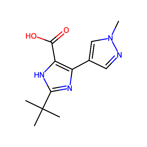 Cn1cc(-c2nc(C(C)(C)C)[nH]c2C(=O)O)cn1